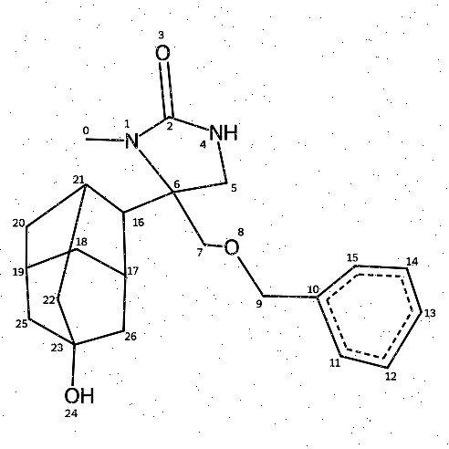 CN1C(=O)NCC1(COCc1ccccc1)C1C2CC3CC1CC(O)(C3)C2